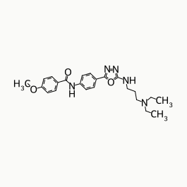 CCN(CC)CCCNc1nnc(-c2ccc(NC(=O)c3ccc(OC)cc3)cc2)o1